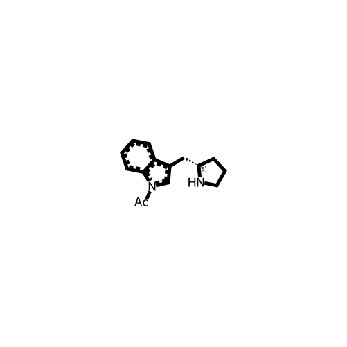 CC(=O)n1cc(C[C@@H]2CCCN2)c2ccccc21